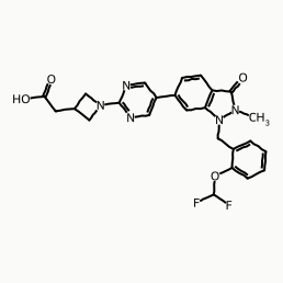 Cn1c(=O)c2ccc(-c3cnc(N4CC(CC(=O)O)C4)nc3)cc2n1Cc1ccccc1OC(F)F